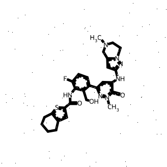 CN1CCn2nc(Nc3cc(-c4ccc(F)c(NC(=O)c5cc6c(s5)CCCC6)c4CO)nn(C)c3=O)cc2C1